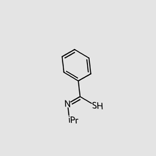 CC(C)/N=C(\S)c1ccccc1